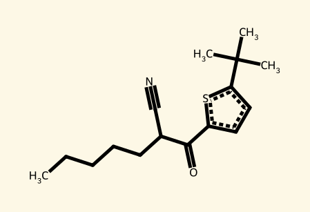 CCCCCC(C#N)C(=O)c1ccc(C(C)(C)C)s1